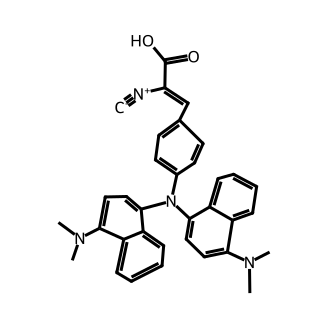 [C-]#[N+]/C(=C\c1ccc(N(c2ccc(N(C)C)c3ccccc23)c2ccc(N(C)C)c3ccccc23)cc1)C(=O)O